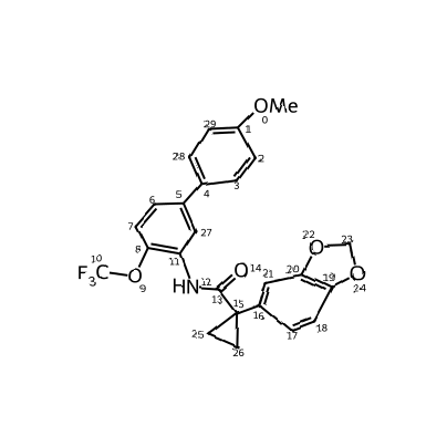 COc1ccc(-c2ccc(OC(F)(F)F)c(NC(=O)C3(c4ccc5c(c4)OCO5)CC3)c2)cc1